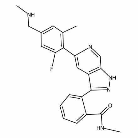 CNCc1cc(C)c(-c2cc3c(-c4ccccc4C(=O)NC)n[nH]c3cn2)c(F)c1